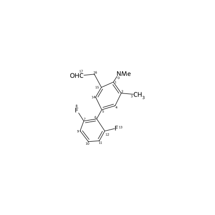 CNc1c(C)cc(-c2c(F)cccc2F)cc1CC=O